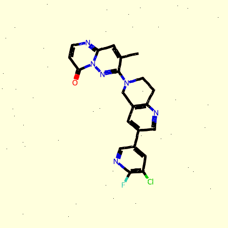 Cc1cc2nccc(=O)n2nc1N1CCc2ncc(-c3cnc(F)c(Cl)c3)cc2C1